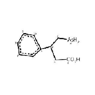 O=C(O)CC(C[AsH2])c1ccccc1